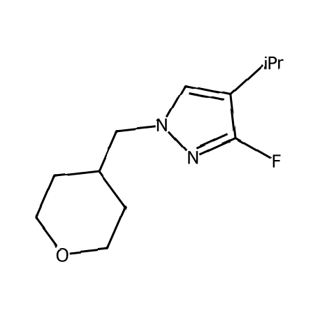 CC(C)c1cn(CC2CCOCC2)nc1F